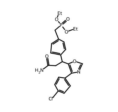 CCOP(=O)(Cc1ccc(C(CC(N)=O)c2ocnc2-c2ccc(Cl)cc2)cc1)OCC